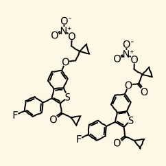 O=C(c1sc2cc(OC(=O)C3(CO[N+](=O)[O-])CC3)ccc2c1-c1ccc(F)cc1)C1CC1.O=C(c1sc2cc(OCC3(CO[N+](=O)[O-])CC3)ccc2c1-c1ccc(F)cc1)C1CC1